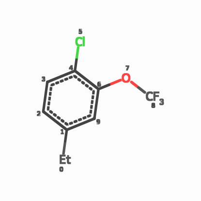 CCc1ccc(Cl)c(OC(F)(F)F)c1